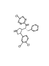 Clc1cnc(N[C@H](Cc2ccccc2)C2CNCC2c2ccc(Cl)c(Cl)c2)nc1